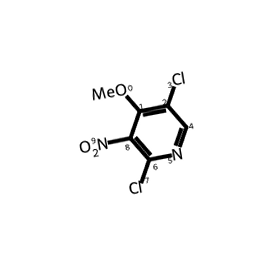 COc1c(Cl)cnc(Cl)c1[N+](=O)[O-]